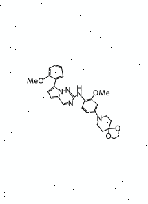 COc1cc(N2CCC3(CC2)OCCO3)ccc1Nc1ncc2ccc(-c3ccccc3OC)n2n1